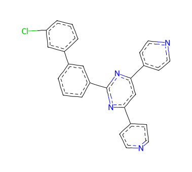 Clc1cccc(-c2cccc(-c3nc(-c4ccncc4)cc(-c4ccncc4)n3)c2)c1